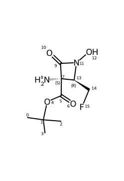 CC(C)(C)OC(=O)[C@@]1(N)C(=O)N(O)[C@H]1CF